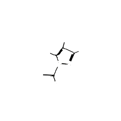 CC(=O)C(C)n1nc(C(F)(F)F)c(Cl)c1C